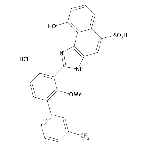 COc1c(-c2cccc(C(F)(F)F)c2)cccc1-c1nc2c(cc(S(=O)(=O)O)c3cccc(O)c32)[nH]1.Cl